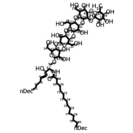 CCCCCCCCCCCCC/C=C/[C@@H](O)[C@H](CO[C@@H]1OC(CO)[C@@H](O[C@@H]2OC(CO)[C@H](O[C@@H]3OC(CO)[C@H](O)[C@H](O[C@H]4OC(CO)[C@H](O)[C@H](O)C4O[C@H]4OC(C)[C@@H](O)C(O)[C@@H]4O)C3O)[C@H](O)C2O)[C@H](O)C1O)NC(=O)CCCCCCCCCCCCCCCCCCCCCCC